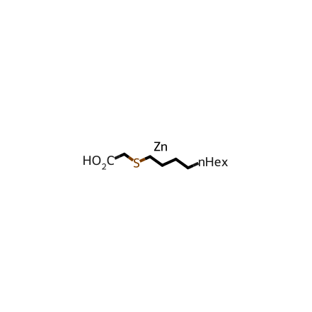 CCCCCCCCCCSCC(=O)O.[Zn]